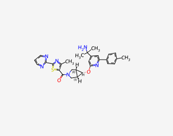 Cc1ccc(-c2cc(C(C)(C)N)cc(O[C@@H]3[C@@H]4CN(C(=O)c5sc(-c6ncccn6)nc5C)C[C@@H]43)n2)cc1